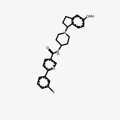 COc1ccc2c(c1)CCC2N1CCC(NC(=O)c2ccc(-c3cccc(F)c3)nc2)CC1